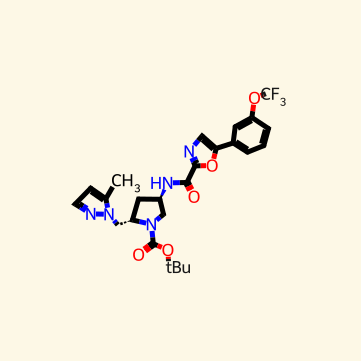 Cc1ccnn1C[C@@H]1C[C@@H](NC(=O)c2ncc(-c3cccc(OC(F)(F)F)c3)o2)CN1C(=O)OC(C)(C)C